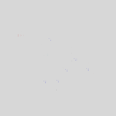 CC1=NCCN1c1ccc([N+](=O)[O-])c(Nc2ccc(N3CCCC(CO)C3)c(F)c2)n1